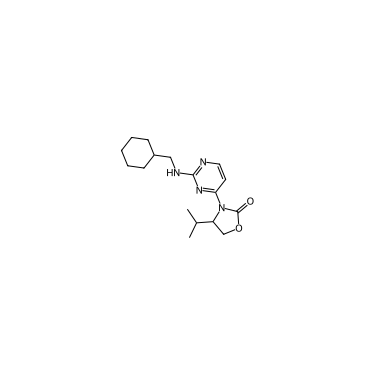 CC(C)C1COC(=O)N1c1ccnc(NCC2CCCCC2)n1